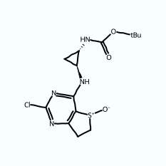 CC(C)(C)OC(=O)N[C@H]1C[C@@H]1Nc1nc(Cl)nc2c1[S+]([O-])CC2